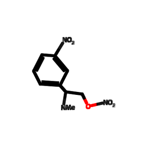 CNC(CO[N+](=O)[O-])c1cccc([N+](=O)[O-])c1